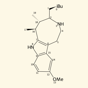 CC[C@H](C)CC1NCCc2c([nH]c3ccc(OC)cc23)[C@@H](C)[C@@H]1C